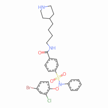 O=C(NCCCCC1CCNCC1)c1ccc(S(=O)(=O)N(Oc2ccc(Br)cc2Cl)c2ccccc2)cc1